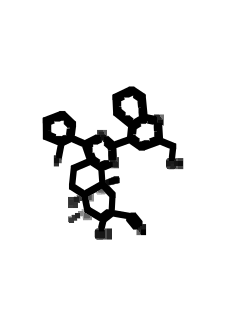 C[C@H]1C(O)=C(C#N)C[C@@]2(C)c3nc(-c4cc(CO)nc5ccccc45)nc(-c4ccccc4F)c3CC[C@H]12